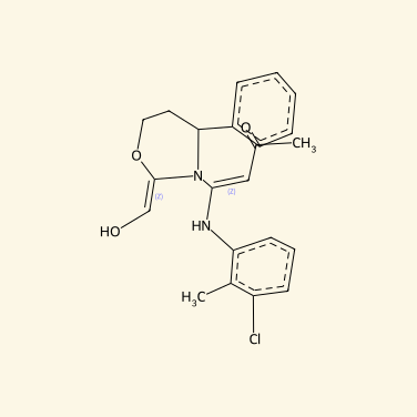 CC(=O)/C=C(/Nc1cccc(Cl)c1C)N1/C(=C/O)OCCC1c1ccccc1